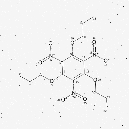 CCCOc1c([N+](=O)[O-])c(OCCC)c([N+](=O)[O-])c(OCCC)c1[N+](=O)[O-]